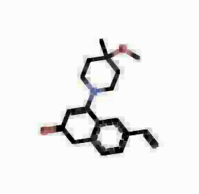 C=Cc1ccc2c(c1)C(N1CCC(C)(OC)CC1)=CC(=O)C2